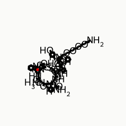 C[C@@H]1NC(=O)[C@H](Cc2ccccc2)NC(=O)[C@H](CCC(N)=O)NC(=O)[C@H](NC(=O)[C@@H]2CCCN2C(=O)[C@H](Cc2ccccc2)NC(=O)[C@H](Cc2ccc(O)cc2)NC(=O)CCOCCOCCOCCOCCN)CCSSC[C@@H](C(=O)O)NC(=O)[C@H](Cc2c[nH]c3ccccc23)NC1=O